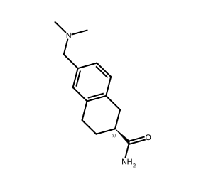 CN(C)Cc1ccc2c(c1)CC[C@H](C(N)=O)C2